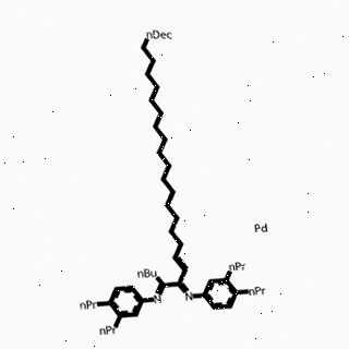 CCCCCCCCCCCCCCCCCCCCCCCCCC/C=C/C(=N\c1ccc(CCC)c(CCC)c1)C(/CCCC)=N/c1ccc(CCC)c(CCC)c1.[Pd]